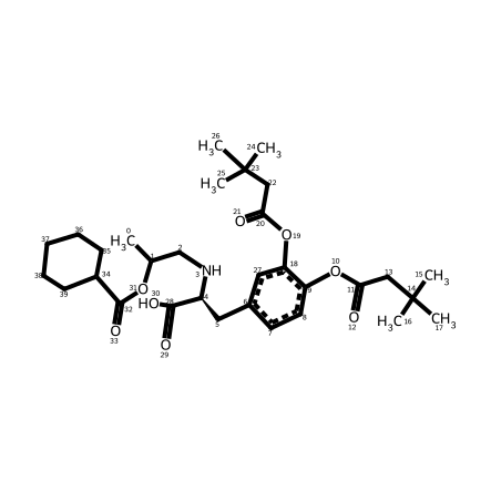 CC(CN[C@@H](Cc1ccc(OC(=O)CC(C)(C)C)c(OC(=O)CC(C)(C)C)c1)C(=O)O)OC(=O)C1CCCCC1